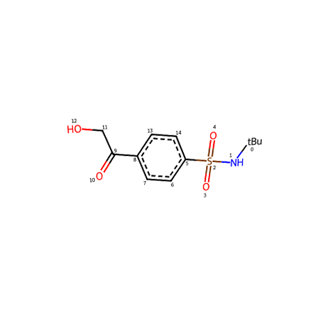 CC(C)(C)NS(=O)(=O)c1ccc(C(=O)CO)cc1